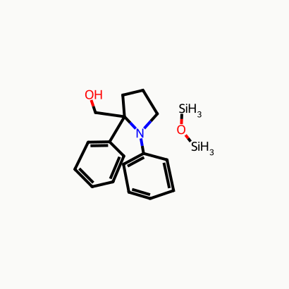 OCC1(c2ccccc2)CCCN1c1ccccc1.[SiH3]O[SiH3]